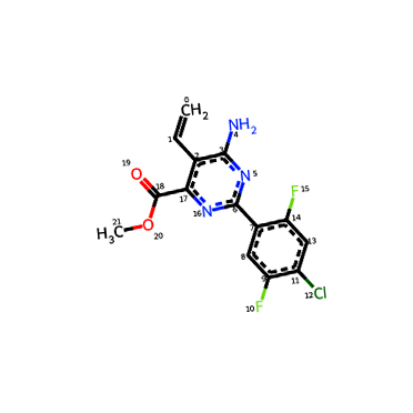 C=Cc1c(N)nc(-c2cc(F)c(Cl)cc2F)nc1C(=O)OC